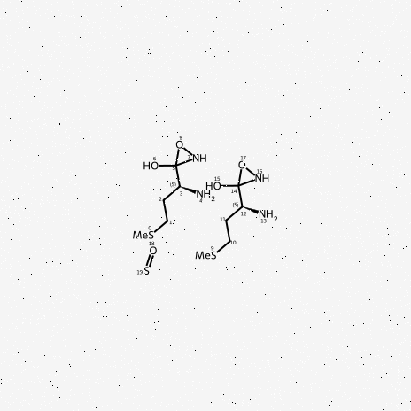 CSCC[C@H](N)C1(O)NO1.CSCC[C@H](N)C1(O)NO1.O=S